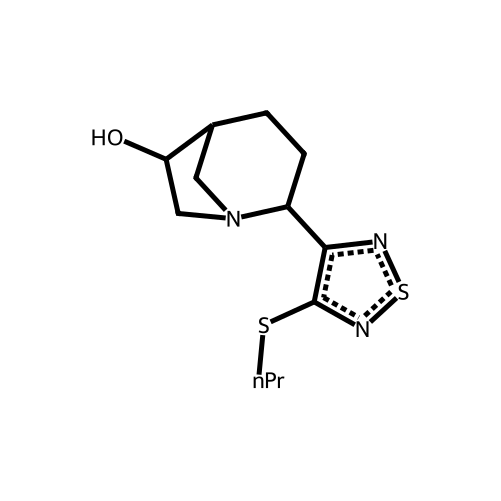 CCCSc1nsnc1C1CCC2CN1CC2O